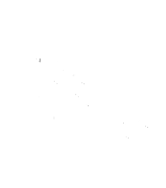 CNC(=O)C1CC(O)CN1C(=O)[C@@H](n1cc(CCn2cncn2)nn1)C(C)(C)C